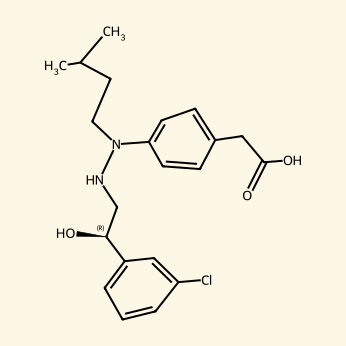 CC(C)CCN(NC[C@H](O)c1cccc(Cl)c1)c1ccc(CC(=O)O)cc1